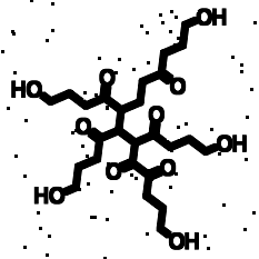 O=C(CCCO)CCC(C(=O)CCCO)C(C(=O)CCCO)C(C(=O)CCCO)C(=O)C(=O)CCCO